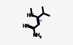 CN/C(=C\C(=N)N)C(C)C